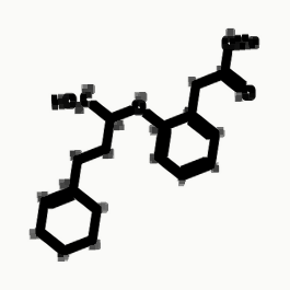 COC(=O)Cc1ccccc1OC(CCC1=CCCCC1)C(=O)O